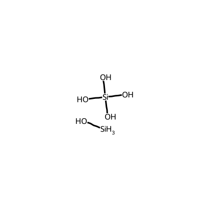 O[SiH3].O[Si](O)(O)O